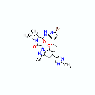 CC(=O)c1nn(CC(=O)N2CC(C)(C)C[C@H]2C(=O)Nc2cccc(Br)n2)c2c3c(c(-c4cnc(C)nc4)cc12)CCCO3